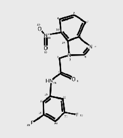 O=C(Cn1cnc2cccc([N+](=O)[O-])c21)Nc1cc(F)cc(F)c1